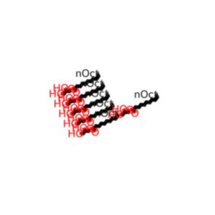 CCCCCCCC/C=C\CCCCCCCC(=O)OCC(O)CO.CCCCCCCC/C=C\CCCCCCCC(=O)OCC(O)CO.CCCCCCCC/C=C\CCCCCCCC(=O)OCC(O)CO.CCCCCCCC/C=C\CCCCCCCC(=O)OCC(O)CO.CCCCCCCC/C=C\CCCCCCCC(=O)OCC(O)CO.CCCCCCCC/C=C\CCCCCCCC(=O)OCC(O)CO